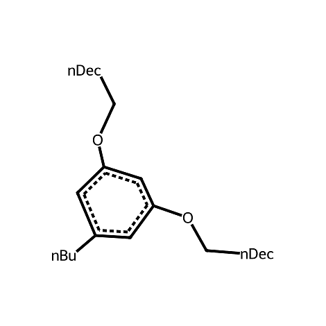 [CH2]CCCc1cc(OCCCCCCCCCCC)cc(OCCCCCCCCCCC)c1